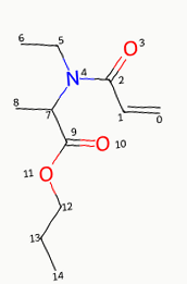 C=CC(=O)N(CC)C(C)C(=O)OCCC